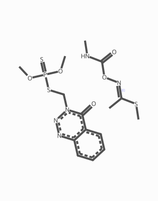 CNC(=O)O/N=C(\C)SC.COP(=S)(OC)SCn1nnc2ccccc2c1=O